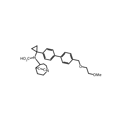 COCCOCc1ccc(-c2ccc(C3(N(C(=O)O)C4CCN5CCC4CC5)CC3)cc2)cc1